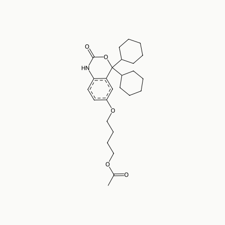 CC(=O)OCCCCOc1ccc2c(c1)C(C1CCCCC1)(C1CCCCC1)OC(=O)N2